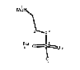 CNCCSS(=O)(=O)[O-].[Na+]